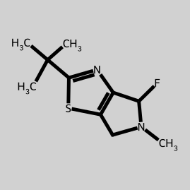 CN1Cc2sc(C(C)(C)C)nc2C1F